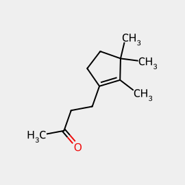 CC(=O)CCC1=C(C)C(C)(C)CC1